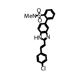 CNS(=O)(=O)c1ccccc1-c1ccc2[nH]c(C=Cc3ccc(Cl)cc3)nc2c1